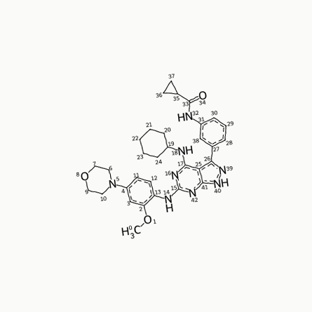 COc1cc(N2CCOCC2)ccc1Nc1nc(NC2CCCCC2)c2c(-c3cccc(NC(=O)C4CC4)c3)n[nH]c2n1